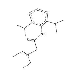 CCN(CC)CC(=O)Nc1c(C(C)C)cccc1C(C)C